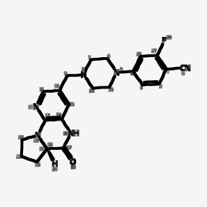 N#Cc1ccc(N2CCN(Cc3cnc4c(c3)NC(=O)[C@@H]3CCCN43)CC2)cc1F